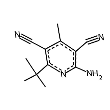 Cc1c(C#N)c(N)nc(C(C)(C)C)c1C#N